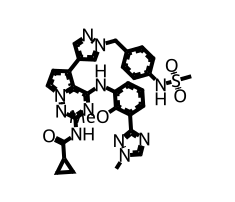 COc1c(Nc2nc(NC(=O)C3CC3)nn3ccc(-c4cnn(Cc5ccc(NS(C)(=O)=O)cc5)c4)c23)cccc1-c1ncn(C)n1